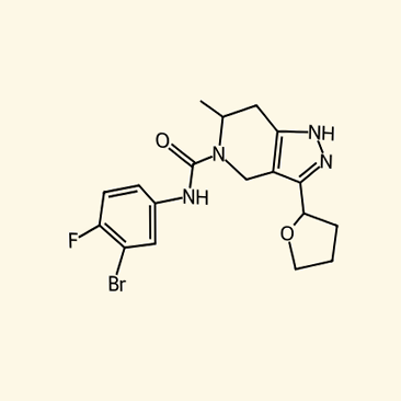 CC1Cc2[nH]nc(C3CCCO3)c2CN1C(=O)Nc1ccc(F)c(Br)c1